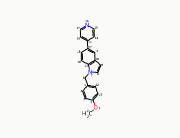 COc1ccc(Cn2ccc3cc(-c4ccncc4)ccc32)cc1